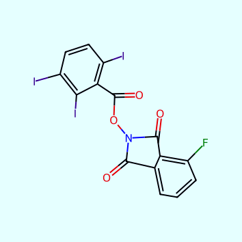 O=C(ON1C(=O)c2cccc(F)c2C1=O)c1c(I)ccc(I)c1I